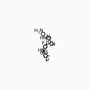 COc1ccc(S(=O)(=O)Nc2ccc(Oc3ccncc3-c3ccnc(NC4CCC(N)CC4)n3)c(F)c2)c(C)c1C